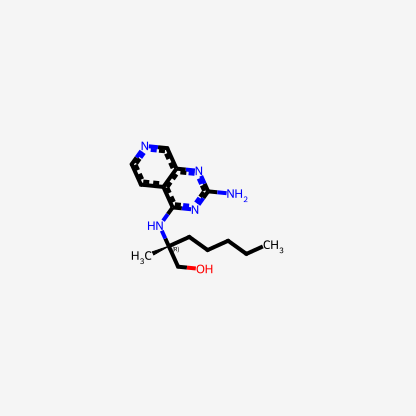 CCCCC[C@](C)(CO)Nc1nc(N)nc2cnccc12